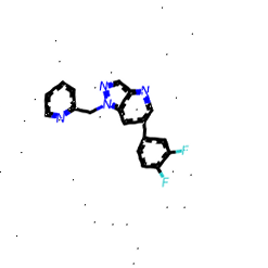 Fc1ccc(-c2cnc3cnn(Cc4ccccn4)c3c2)cc1F